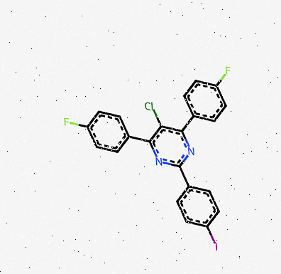 Fc1ccc(-c2nc(-c3ccc(I)cc3)nc(-c3ccc(F)cc3)c2Cl)cc1